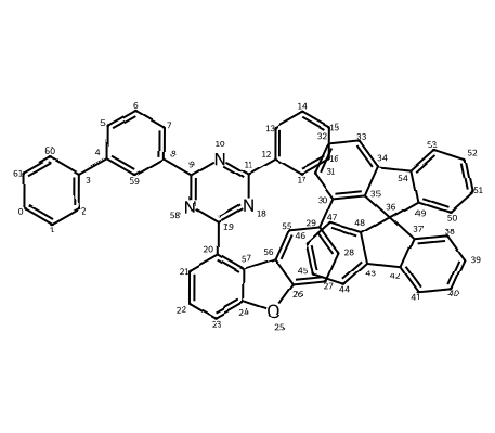 c1ccc(-c2cccc(-c3nc(-c4ccccc4)nc(-c4cccc5oc6ccc(-c7cccc8c7C7(c9ccccc9-c9ccccc97)c7ccccc7-8)cc6c45)n3)c2)cc1